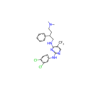 CN(C)CCC(CNc1nc(Nc2ccc(Cl)c(Cl)c2)ncc1C(F)(F)F)c1ccccc1